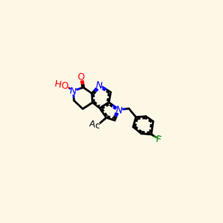 CC(=O)c1cn(Cc2ccc(F)cc2)c2cnc3c(c12)CCN(O)C3=O